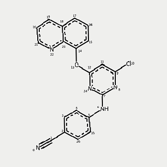 N#Cc1ccc(Nc2nc(Cl)cc(Oc3cccc4cccnc34)n2)cc1